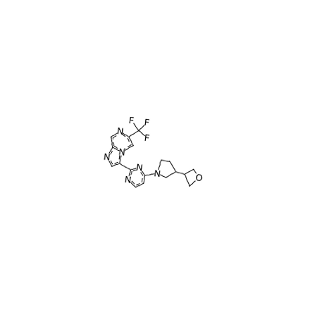 FC(F)(F)c1cn2c(-c3nccc(N4CCC(C5COC5)C4)n3)cnc2cn1